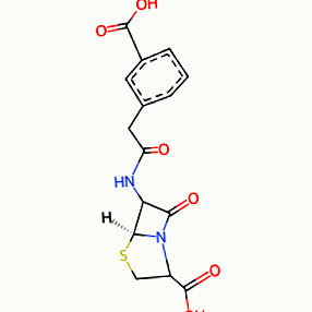 O=C(Cc1cccc(C(=O)O)c1)NC1C(=O)N2C(C(=O)O)CS[C@@H]12